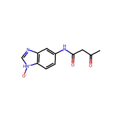 CC(=O)CC(=O)Nc1ccc2c(c1)N=C[NH+]2[O-]